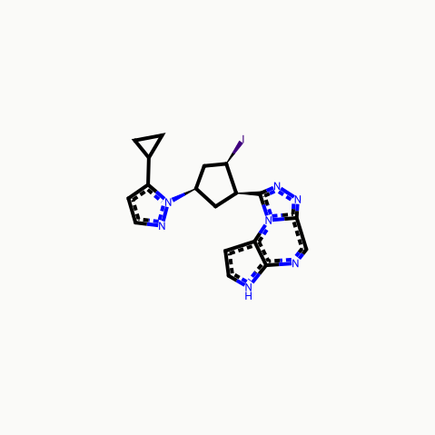 I[C@@H]1C[C@H](n2nccc2C2CC2)C[C@@H]1c1nnc2cnc3[nH]ccc3n12